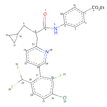 CCOC(=O)c1ccc(NC(=O)C(CC2CC2)c2ccc(-c3c(C(F)F)ccc(Cl)c3F)cn2)cc1